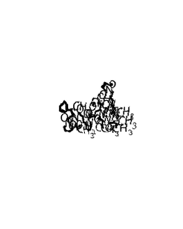 CC[C@H](C)C([C@@H](CC(=O)N1CCC[C@H]1[C@H](OC)[C@@H](C)C(=O)N[C@H](C(=O)N1CCCCO1)[C@@H](C)c1ccccc1)OC)N(C)C(=O)[C@@H](NC(=O)[C@H](C(C)C)N(C)CCCCCCN1C(=O)C=CC1=O)C(C)C